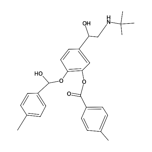 Cc1ccc(C(=O)Oc2cc(C(O)CNC(C)(C)C)ccc2OC(O)c2ccc(C)cc2)cc1